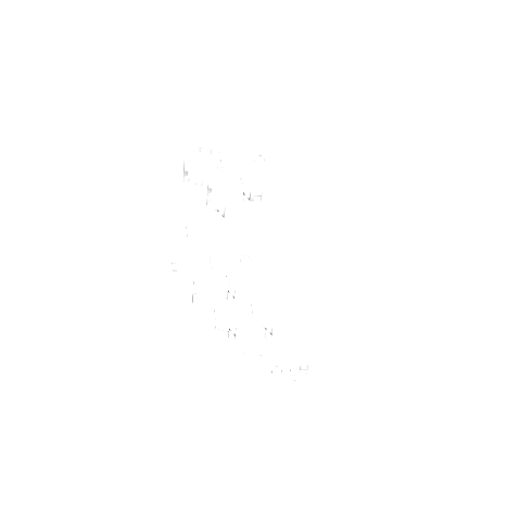 O=C(O)c1cn2c(n1)CN(C(=O)c1cc(Cc3n[nH]c(=O)c4ccccc34)ccc1F)CC2